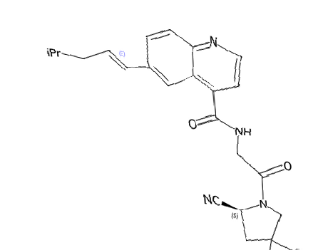 CC(C)C/C=C/c1ccc2nccc(C(=O)NCC(=O)N3CC(F)(F)C[C@H]3C#N)c2c1